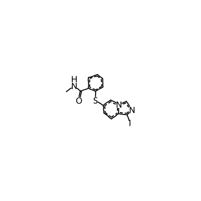 CNC(=O)c1ccccc1Sc1ccc2c(I)ncn2c1